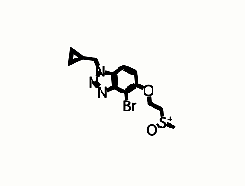 C[S+]([O-])CCOc1ccc2c(nnn2CC2CC2)c1Br